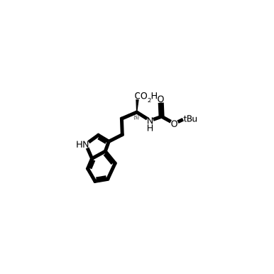 CC(C)(C)OC(=O)N[C@@H](CCc1c[nH]c2ccccc12)C(=O)O